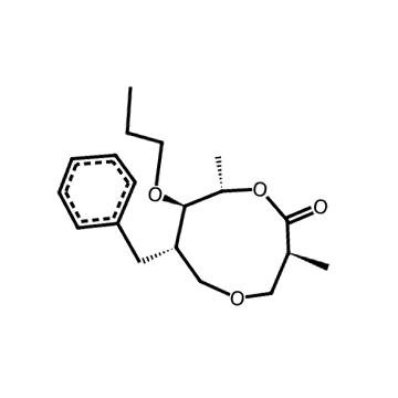 CCCO[C@@H]1[C@@H](Cc2ccccc2)COC[C@H](C)C(=O)O[C@H]1C